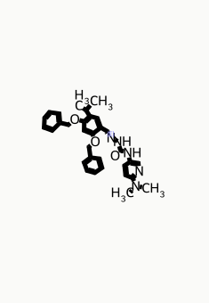 CC(C)c1cc(/C=N/NC(=O)Nc2ccc(N(C)C)nc2)c(OCc2ccccc2)cc1OCc1ccccc1